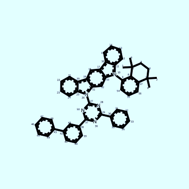 CC1(C)CCC(C)(C)c2c(-n3c4ccccc4c4cc5c6ccccc6n(-c6nc(-c7ccccc7)nc(-c7cccc(-c8ccccc8)c7)n6)c5cc43)cccc21